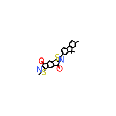 Cc1ccc2c(c1)C(C)(C)c1cc(-c3nc4c(=O)c5cc6c(cc5c4s3)c(=O)c3nc(C)sc36)ccc1-2